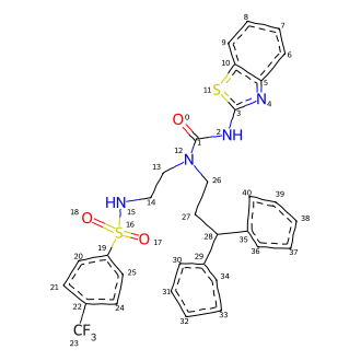 O=C(Nc1nc2ccccc2s1)N(CCNS(=O)(=O)c1ccc(C(F)(F)F)cc1)CCC(c1ccccc1)c1ccccc1